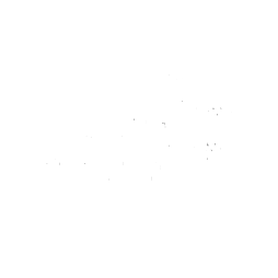 COC(=O)C(OB1OC(=O)C(C)O1)C(=O)OC